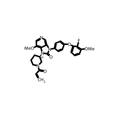 C=CC(=O)N1CCC[C@@H](n2c(=O)n(-c3ccc(Oc4cccc(OC)c4F)cc3)c3cncc(OC)c32)C1